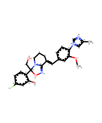 COc1cc(/C=C2\CCCN3C2=NOC3(CO)c2ccc(F)cc2Br)ccc1-n1cnc(C)c1